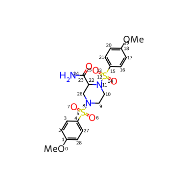 COc1ccc(S(=O)(=O)N2CCN(S(=O)(=O)c3ccc(OC)cc3)C(C(N)=O)C2)cc1